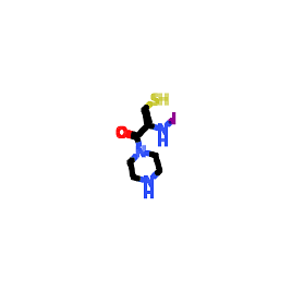 O=C(/C(=C/S)NI)N1CCNCC1